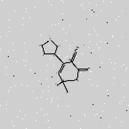 C=C1CC(C)(C)C=C(C2CCNC2)C1=O